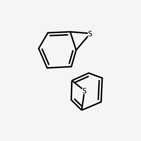 c1cc2cc(c1)S2.c1ccc2c(c1)S2